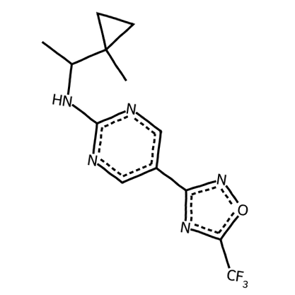 CC(Nc1ncc(-c2noc(C(F)(F)F)n2)cn1)C1(C)CC1